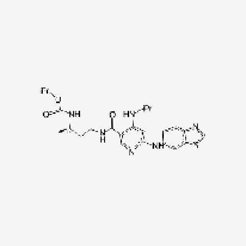 CC(C)Nc1cc(Nc2ccc3ncsc3c2)ncc1C(=O)NCC[C@@H](C)NC(=O)OC(C)C